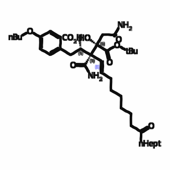 CCCCCCCC(=O)CCCCCC/C=C/[C@@](C(N)=O)([C@H](Cc1ccc(OCCCC)cc1)C(=O)O)[C@@](O)(CC(N)=O)C(=O)OC(C)(C)C